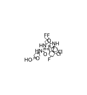 O=C(N[C@@H]1CC[C@@H](CO)OC1)[C@@H]1NC2(CC(CF)(CF)C2)[C@@]2(C(=O)Nc3cc(Cl)ccc32)[C@H]1c1cc(F)cc(Cl)c1F